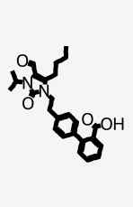 CCCCc1c(C=O)n(C(C)C)c(=O)n1CCc1ccc(-c2ccccc2C(=O)O)cc1